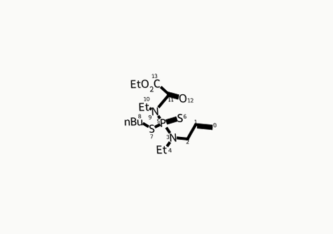 C=CCN(CC)P(=S)(SCCCC)N(CC)C(=O)C(=O)OCC